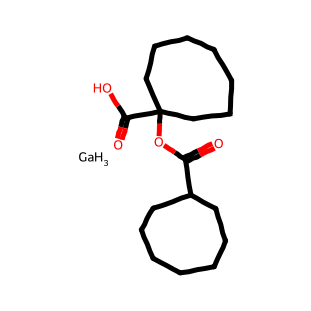 O=C(OC1(C(=O)O)CCCCCCC1)C1CCCCCCC1.[GaH3]